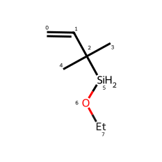 C=CC(C)(C)[SiH2]OCC